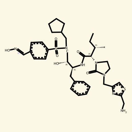 CC[C@H](C)[C@@H](C(=O)N[C@@H](Cc1ccccc1)[C@H](O)CN(CC1CCCC1)S(=O)(=O)c1ccc(/C=N/O)cc1)N1CCN(Cc2csc(CN)n2)C1=O